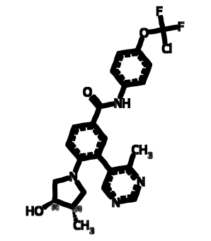 Cc1ncncc1-c1cc(C(=O)Nc2ccc(OC(F)(F)Cl)cc2)ccc1N1C[C@H](C)[C@@H](O)C1